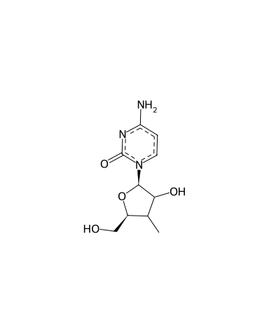 CC1C(O)[C@H](n2ccc(N)nc2=O)O[C@@H]1CO